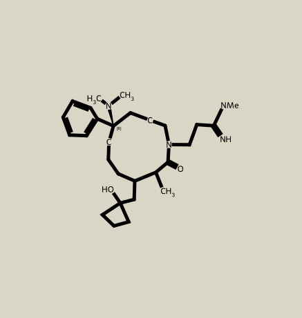 CNC(=N)CCN1CCC[C@](c2ccccc2)(N(C)C)CCCC(CC2(O)CCC2)C(C)C1=O